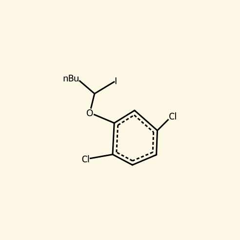 CCCCC(I)Oc1cc(Cl)ccc1Cl